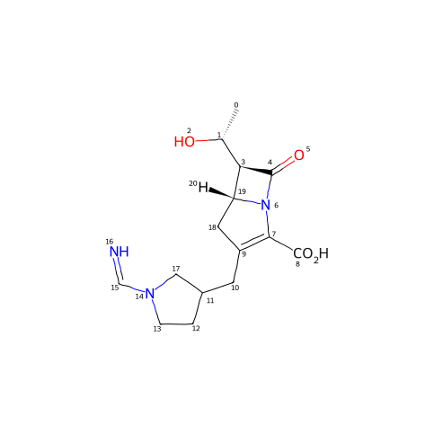 C[C@@H](O)[C@H]1C(=O)N2C(C(=O)O)=C(CC3CCN(C=N)C3)C[C@H]12